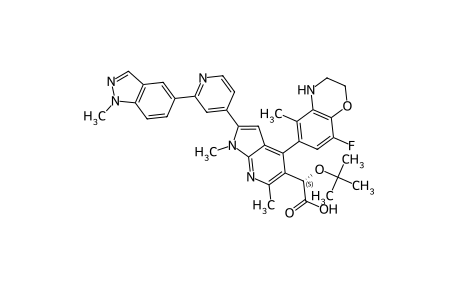 Cc1nc2c(cc(-c3ccnc(-c4ccc5c(cnn5C)c4)c3)n2C)c(-c2cc(F)c3c(c2C)NCCO3)c1[C@H](OC(C)(C)C)C(=O)O